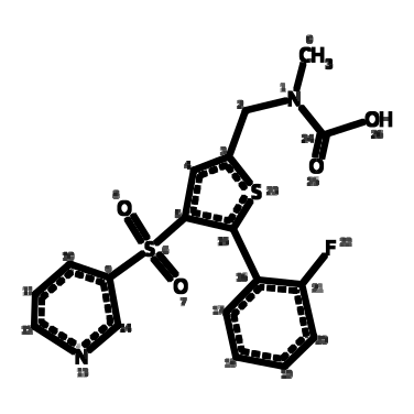 CN(Cc1cc(S(=O)(=O)c2cccnc2)c(-c2ccccc2F)s1)C(=O)O